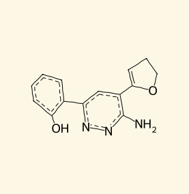 Nc1nnc(-c2ccccc2O)cc1C1=CCCO1